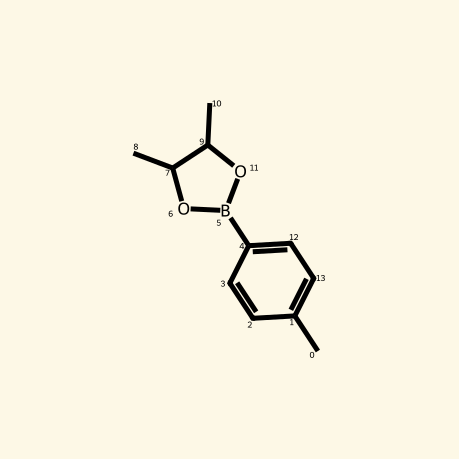 Cc1ccc(B2OC(C)C(C)O2)cc1